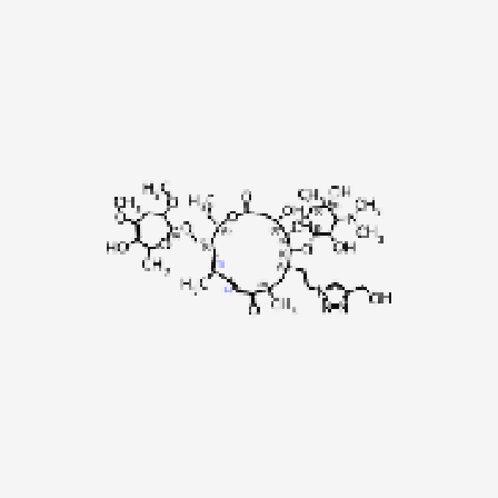 CC[C@H]1OC(=O)C[C@@H](O)[C@H](C)[C@@H](O[C@@H]2O[C@H](C)[C@@H](O)C(N(C)C)C2O)[C@@H](CCn2cc(CO)nn2)C[C@@H](C)C(=O)/C=C/C(C)=C/[C@@H]1CO[C@@H]1OC(C)C(O)=C(OC)CC1OC